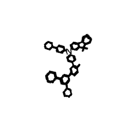 Cc1ccc(-c2cc(C3CCCCC3)cc(C3CCCCC3)c2)cc1-c1ccc(N(c2ccc(C3CCCCC3)cc2)c2ccc3c(c2)C(C)(C)c2ccccc2-3)cc1